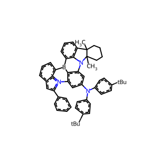 CC(C)(C)c1ccc(N(c2ccc(C(C)(C)C)cc2)c2cc3c4c(c2)-n2c(-c5ccccc5)cc5cccc(c52)B4c2cccc4c2N3C2(C)CCCCC42C)cc1